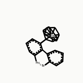 Pc1cccc([C]23[CH]4[CH]5[CH]6[CH]2[Fe]56432789[CH]3[CH]2[CH]7[CH]8[CH]39)c1-c1ccccc1Br